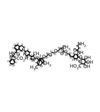 Cc1c(-c2ccc(N3CCc4cccc(C(=O)Nc5nc6ccccc6s5)c4C3)nc2C(=O)O)cnn1CC12CC3(C)CC(C)(C1)CC(OCCOCCOCCN(C)C(=O)OC/C=C/c1ccc(O[C@@H]4O[C@H](C(=O)O)[C@@H](O)[C@H](O)[C@H]4O)c(NC(=O)CCN)c1)(C3)C2